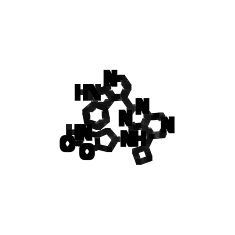 O=C1NC2CC(Nc3nc(-c4ccnc5[nH]c6ccccc6c45)nc4cncc(C5CCC5)c34)CC2O1